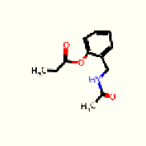 CCC(=O)Oc1ccccc1CNC(C)=O